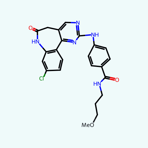 COCCCNC(=O)c1ccc(Nc2ncc3c(n2)-c2ccc(Cl)cc2NC(=O)C3)cc1